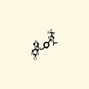 CC(C)n1cc(C(F)(F)F)nc1-c1ccc(Cn2c3nc(Cl)ncc3n3cncc23)cc1